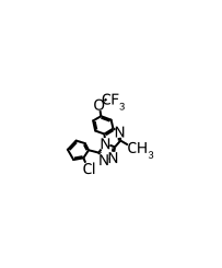 Cc1nc2cc(OC(F)(F)F)ccc2n2c(-c3ccccc3Cl)nnc12